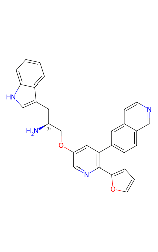 N[C@H](COc1cnc(-c2ccco2)c(-c2ccc3cnccc3c2)c1)Cc1c[nH]c2ccccc12